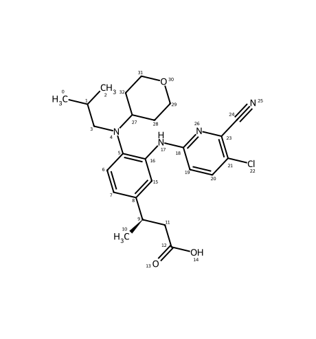 CC(C)CN(c1ccc([C@H](C)CC(=O)O)cc1Nc1ccc(Cl)c(C#N)n1)C1CCOCC1